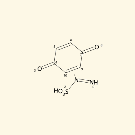 N=NS(=O)(=O)O.O=C1C=CC(=O)C=C1